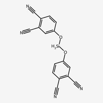 N#Cc1ccc(O[SiH2]Oc2ccc(C#N)c(C#N)c2)cc1C#N